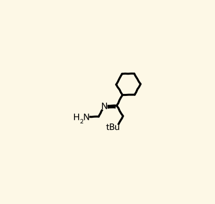 CC(C)(C)C/C(=N\CN)C1CCCCC1